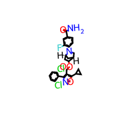 NC(=O)c1ccc(N2C[C@@H]3C[C@H]2CC3OC(=O)c2c(-c3c(Cl)cccc3Cl)noc2C2CC2)c(F)c1